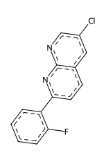 Fc1ccccc1-c1ccc2cc(Cl)cnc2n1